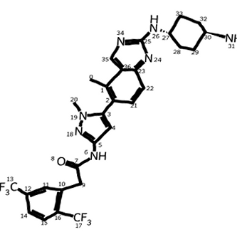 Cc1c(-c2cc(NC(=O)Cc3cc(C(F)(F)F)ccc3C(F)(F)F)nn2C)ccc2nc(N[C@H]3CC[C@H](N)CC3)ncc12